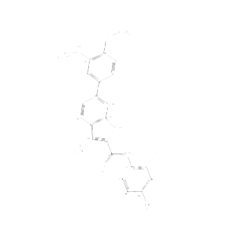 COc1ccc(-c2ccc3c(N)c(C(=O)Nc4ccc(Br)cc4F)sc3n2)cc1OC